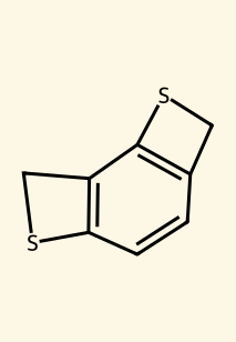 c1cc2c(c3c1CS3)CS2